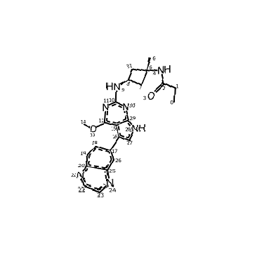 CCC(=O)N[C@]1(C)C[C@@H](Nc2nc(OC)c3c(-c4ccc5nccnc5c4)c[nH]c3n2)C1